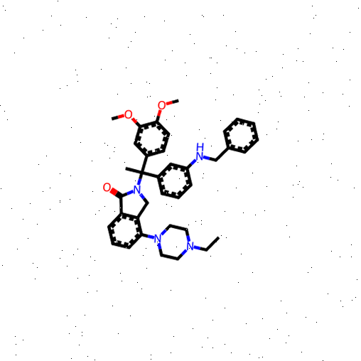 CCN1CCN(c2cccc3c2CN(C(C)(c2cccc(NCc4ccccc4)c2)c2ccc(OC)c(OC)c2)C3=O)CC1